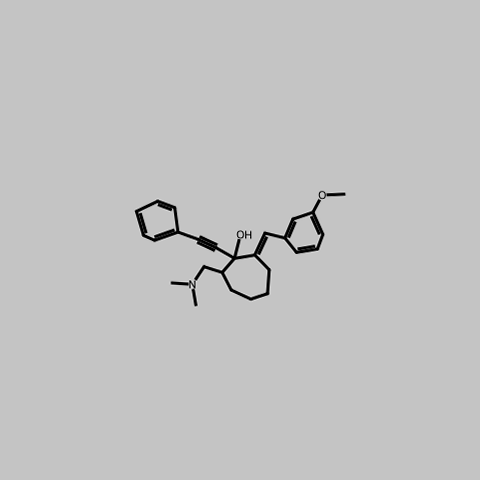 COc1cccc(C=C2CCCCC(CN(C)C)C2(O)C#Cc2ccccc2)c1